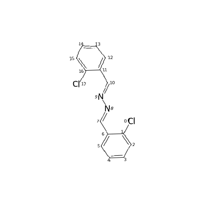 Clc1ccccc1C=NN=Cc1ccccc1Cl